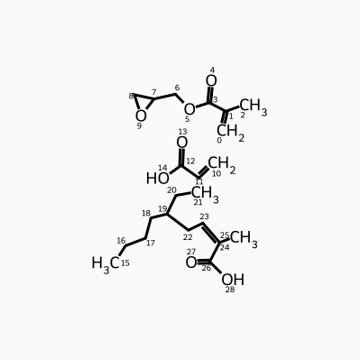 C=C(C)C(=O)OCC1CO1.C=CC(=O)O.CCCCC(CC)CC=C(C)C(=O)O